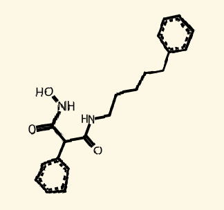 O=C(NO)C(C(=O)NCCCCCc1ccccc1)c1ccccc1